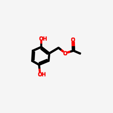 CC(=O)OCc1cc(O)ccc1O